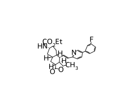 CCOC(=O)N[C@@H]1CC[C@H]2[C@@H](C1)C[C@H]1C(=O)O[C@H](C)[C@@H]1[C@@H]2/C=C/c1ccc(-c2cccc(F)c2)cn1